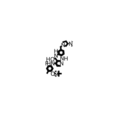 Cc1cc(F)c(Nc2ccnc3c2C(O)Nc2cc(CN4CC[C@@H](N(C)C)C4)ccc2N3)cc1O[Si](C)(C)C(C)(C)C